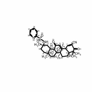 CC1(C)C(=O)C(C#N)=C[C@]2(C)C3=CC(=O)[C@]4(O)[C@@H]5C[C@@](C)(NS(=O)(=O)c6ccccn6)CC[C@]5(C)CC[C@@]4(C)[C@]3(C)CC[C@@H]12